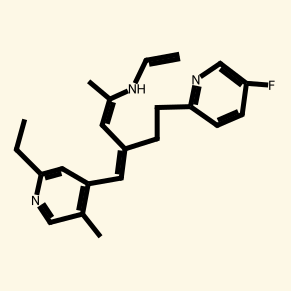 C=CN/C(C)=C\C(=C/c1cc(CC)ncc1C)CCc1ccc(F)cn1